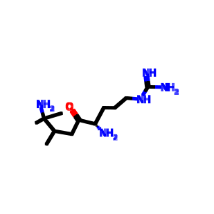 CC(CC(=O)[C@@H](N)CCCNC(=N)N)C(C)(C)N